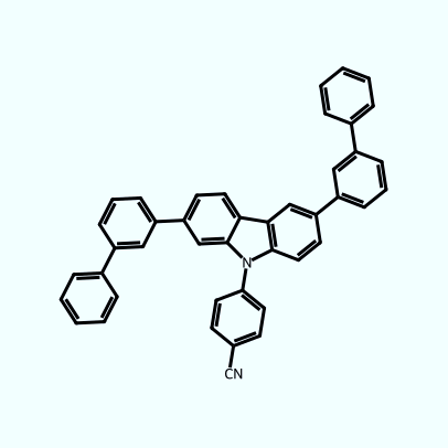 N#Cc1ccc(-n2c3ccc(-c4cccc(-c5ccccc5)c4)cc3c3ccc(-c4cccc(-c5ccccc5)c4)cc32)cc1